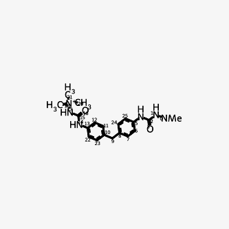 CNNC(=O)Nc1ccc(Cc2ccc(NC(=O)N[N+](C)(C)C)cc2)cc1